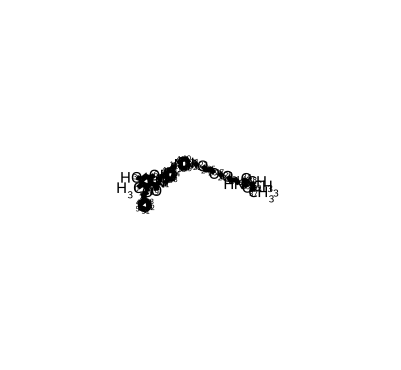 Cc1c(O)cc(O)c(C(=O)N2Cc3ccc(CN4CCN(CCOCCOCCOCCNC(=O)OC(C)(C)C)CC4)cc3C2)c1OCc1ccccc1